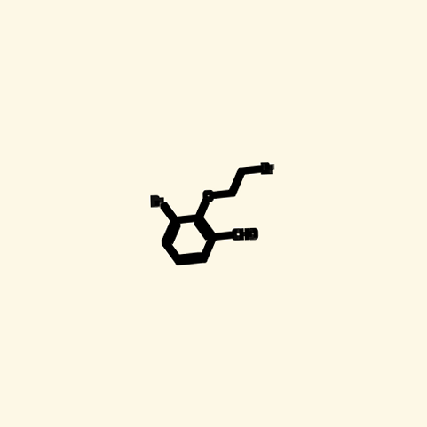 O=Cc1cccc(Br)c1OCCBr